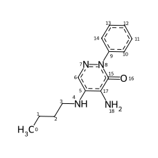 CCCCNc1cnn(-c2ccccc2)c(=O)c1N